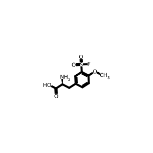 COc1ccc(C[C@H](N)C(=O)O)cc1S(=O)(=O)F